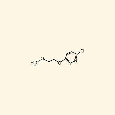 COCCOc1ccc(Cl)nn1